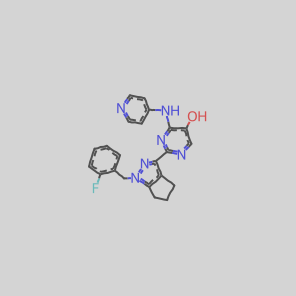 Oc1cnc(-c2nn(Cc3ccccc3F)c3c2CCC3)nc1Nc1ccncc1